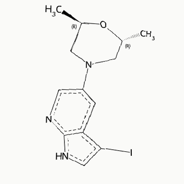 C[C@@H]1CN(c2cnc3[nH]cc(I)c3c2)C[C@@H](C)O1